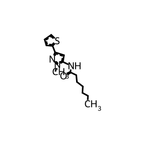 CCCCCCC(=O)Nc1cc(-c2cccs2)nn1C